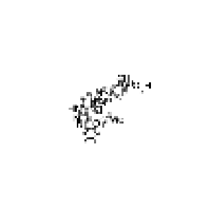 COCOc1ccccc1-c1cc2c3c([nH]c2nn1)CCN(c1ncc(N2CCN(C(=O)O)[C@H](C)C2)cn1)[C@@H]3C